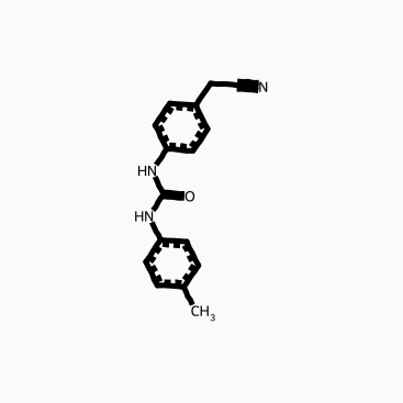 Cc1ccc(NC(=O)Nc2ccc(CC#N)cc2)cc1